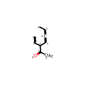 C=CC(C=C=CC)C(=O)OC(C)=O